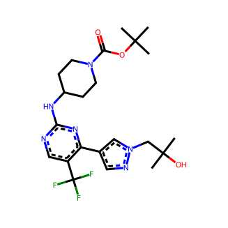 CC(C)(O)Cn1cc(-c2nc(NC3CCN(C(=O)OC(C)(C)C)CC3)ncc2C(F)(F)F)cn1